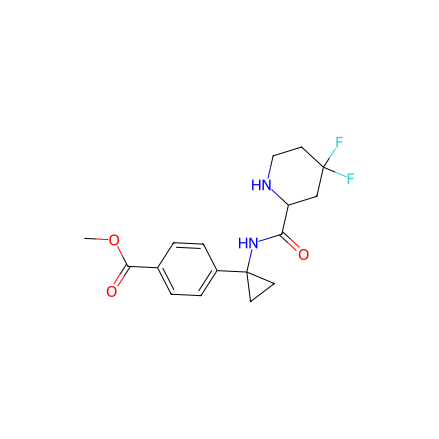 COC(=O)c1ccc(C2(NC(=O)C3CC(F)(F)CCN3)CC2)cc1